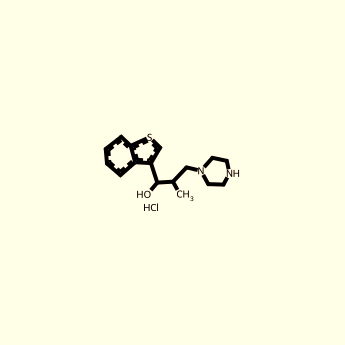 CC(CN1CCNCC1)C(O)c1csc2ccccc12.Cl